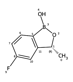 C[C@H]1OB(O)c2ccc(F)cc21